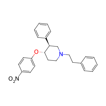 O=[N+]([O-])c1ccc(O[C@H]2CCN(CCc3ccccc3)C[C@@H]2c2ccccc2)cc1